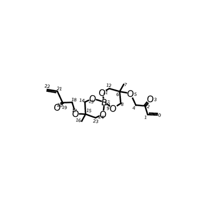 C=CC(=O)COC1(C)CO[B-]2(OC1)OCC(C)(OCC(=O)C=C)CO2